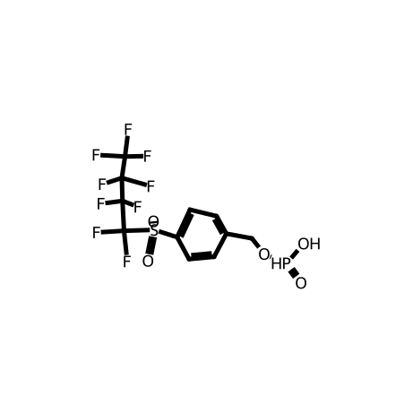 O=[PH](O)OCc1ccc(S(=O)(=O)C(F)(F)C(F)(F)C(F)(F)C(F)(F)F)cc1